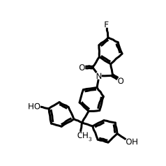 CC(c1ccc(O)cc1)(c1ccc(O)cc1)c1ccc(N2C(=O)c3ccc(F)cc3C2=O)cc1